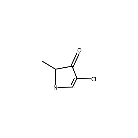 CC1[N][C]=C(Cl)C1=O